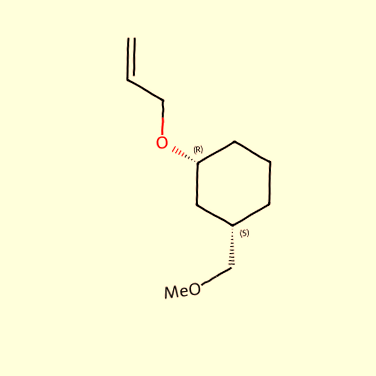 C=CCO[C@@H]1CCC[C@H](COC)C1